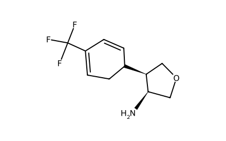 N[C@@H]1COC[C@@H]1C1C=CC(C(F)(F)F)=CC1